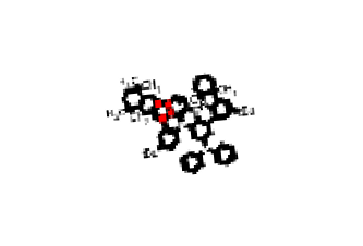 CC(C)(C)c1ccc(N2c3cc(N(c4ccccc4)c4ccccc4)cc4c3B(c3ccc5c(oc6cc7c(cc65)C(C)(C)CCC7(C)C)c32)N2c3c-4cc(C(C)(C)C)cc3C3(C)CCCCC23C)c(-c2ccccc2)c1